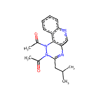 CC(=O)N1C(CC(C)C)=Nc2cnc3ccccc3c2N1C(C)=O